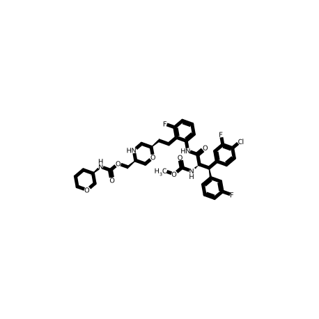 COC(=O)N[C@H](C(=O)Nc1cccc(F)c1CC[C@@H]1CN[C@H](COC(=O)N[C@@H]2CCCOC2)CO1)[C@H](c1cccc(F)c1)c1ccc(Cl)c(F)c1